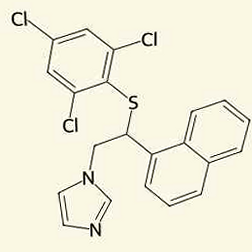 Clc1cc(Cl)c(SC(Cn2ccnc2)c2cccc3ccccc23)c(Cl)c1